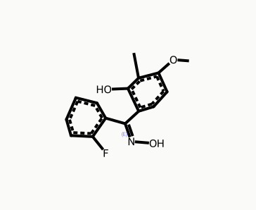 COc1ccc(/C(=N\O)c2ccccc2F)c(O)c1C